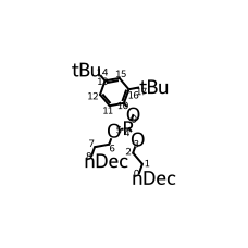 CCCCCCCCCCCCOP(OCCCCCCCCCCCC)Oc1ccc(C(C)(C)C)cc1C(C)(C)C